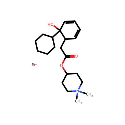 C[N+]1(C)CCC(OC(=O)CC2C=CC=CC2(O)C2CCCCC2)CC1.[Br-]